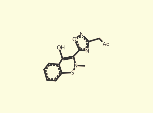 CC(=O)Cc1noc(C2=C(O)c3ccccc3SN2C)n1